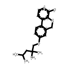 CC(C)CC(C)(N)COc1ccc2c(c1)COc1c-2ccnc1Cl